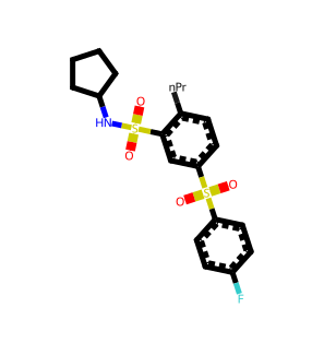 CCCc1ccc(S(=O)(=O)c2ccc(F)cc2)cc1S(=O)(=O)NC1CCCC1